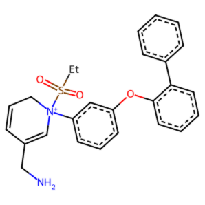 CCS(=O)(=O)[N+]1(c2cccc(Oc3ccccc3-c3ccccc3)c2)C=C(CN)C=CC1